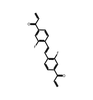 C=CC(=O)c1ccc(/C=C/c2ccc(C(=O)C=C)cc2F)c(F)c1